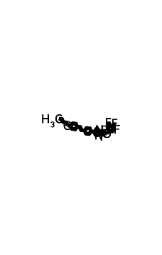 C/C=C/COC1CCC(/C=C/C2CCC(c3cnc(C(F)(F)Oc4cc(F)c(F)c(F)c4)nc3)CC2)CC1